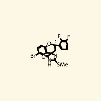 CSC1=NC2(C[C@](C)(c3cccc(F)c3F)Oc3ccc(Br)cc32)C(=O)N1